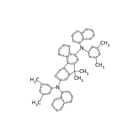 Cc1cc(C)cc(N(c2ccc3c(c2)C(C)(C)c2cc(N(c4cc(C)cc(C)c4)c4cccc5ccccc45)c4ccccc4c2-3)c2cccc3ccccc23)c1